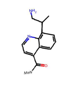 CNC(=O)c1ccnc2c(C(C)CN)cccc12